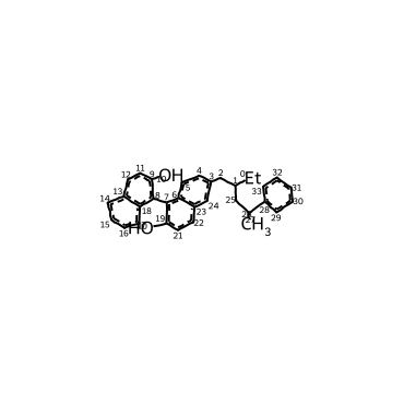 CCC(Cc1ccc2c(-c3c(O)ccc4ccccc34)c(O)ccc2c1)CC(C)c1ccccc1